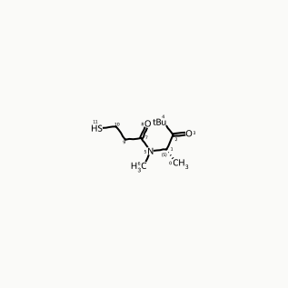 C[C@@H](C(=O)C(C)(C)C)N(C)C(=O)CCS